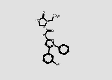 CCCc1cccc(-c2cc(NC(=O)[C@@H]3CNC(=O)N3CC(=O)O)nn2-c2ccccc2)c1